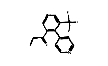 CCC(=O)c1cccc(C(F)(F)F)c1-c1ccncc1